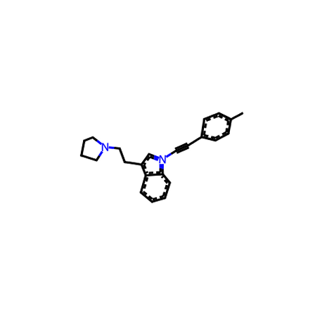 Cc1ccc(C#Cn2cc(CCN3CCCC3)c3ccccc32)cc1